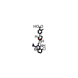 Cc1cc(N2C[C@@H]3C[C@H]2C[C@H]3OC/C(C(=N)c2c(Cl)cccc2Cl)=C(/O)C2CC2)ccc1C(=O)O